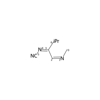 C/N=C\C(=N/C#N)C(C)C